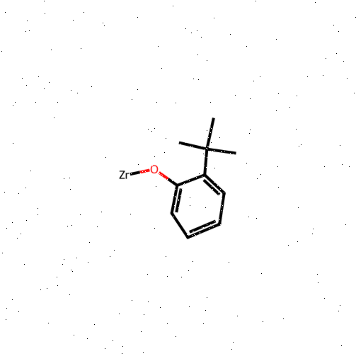 CC(C)(C)c1ccccc1[O][Zr]